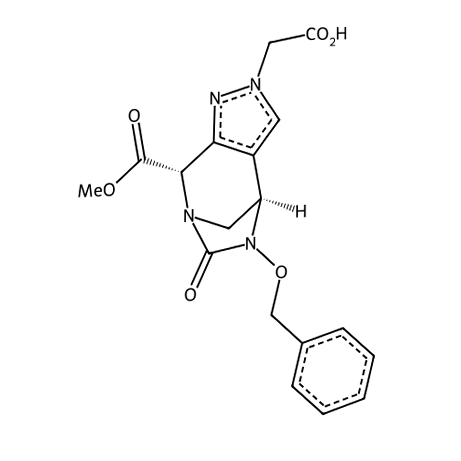 COC(=O)[C@@H]1c2nn(CC(=O)O)cc2[C@@H]2CN1C(=O)N2OCc1ccccc1